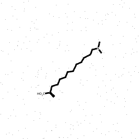 C=C(CCCCCCCCCCCN(C)C)C(=O)O